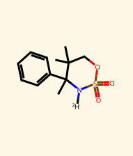 [2H]N1C(C)(c2ccccc2)C(C)(C)COS1(=O)=O